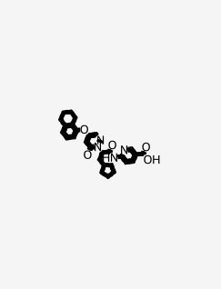 O=C(O)c1ccc(NC(=O)C(CC2CCCC2)n2ncc(Oc3cccc4c3CCCC4)cc2=O)nc1